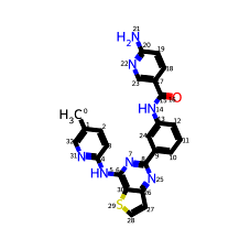 Cc1ccc(Nc2nc(-c3cccc(NC(=O)c4ccc(N)nc4)c3)nc3ccsc23)nc1